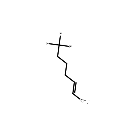 [CH2]C=CCCCC(F)(F)F